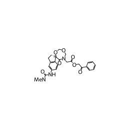 CNC(=O)Nc1ccc2c(c1)CC[C@@]21OCOCN(CC(=O)OCC(=O)c2ccccc2)C1=O